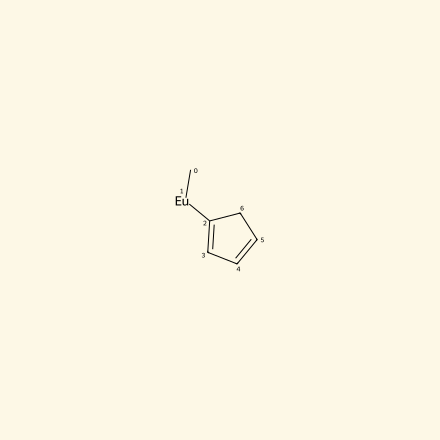 [CH3][Eu][C]1=CC=CC1